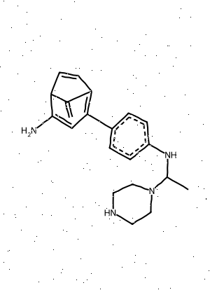 C=C1C2=C(c3ccc(NC(C)N4CCNCC4)cc3)C=C(N)C1C=C2